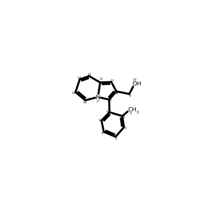 Cc1ccccc1-c1c(CO)cc2ccccn12